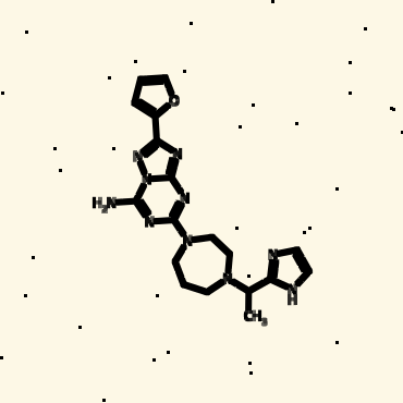 CC(c1ncc[nH]1)N1CCCN(c2nc(N)n3nc(-c4ccco4)nc3n2)CC1